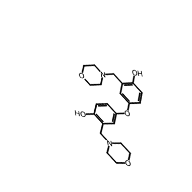 Oc1ccc(Oc2ccc(O)c(CN3CCOCC3)c2)cc1CN1CCOCC1